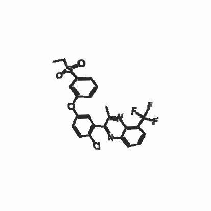 CCS(=O)(=O)c1cccc(Oc2ccc(Cl)c(-c3nc4cccc(C(F)(F)F)c4nc3C)c2)c1